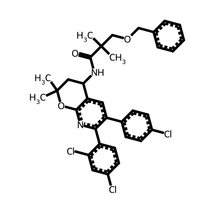 CC1(C)CC(NC(=O)C(C)(C)COCc2ccccc2)c2cc(-c3ccc(Cl)cc3)c(-c3ccc(Cl)cc3Cl)nc2O1